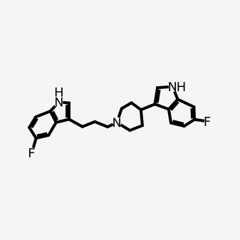 Fc1ccc2c(C3CCN(CCCc4c[nH]c5ccc(F)cc45)CC3)c[nH]c2c1